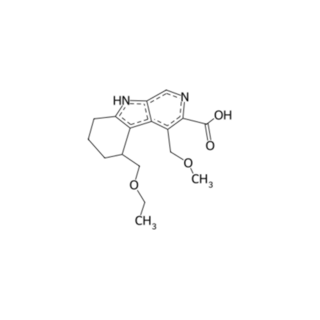 CCOCC1CCCc2[nH]c3cnc(C(=O)O)c(COC)c3c21